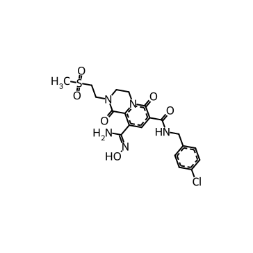 CS(=O)(=O)CCN1CCn2c(c(/C(N)=N/O)cc(C(=O)NCc3ccc(Cl)cc3)c2=O)C1=O